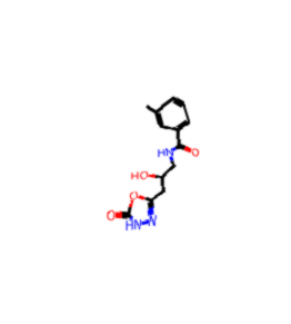 Cc1cccc(C(=O)NCC(O)Cc2n[nH]c(=O)o2)c1